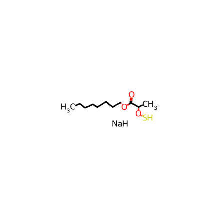 CCCCCCCCOC(=O)C(C)OS.[NaH]